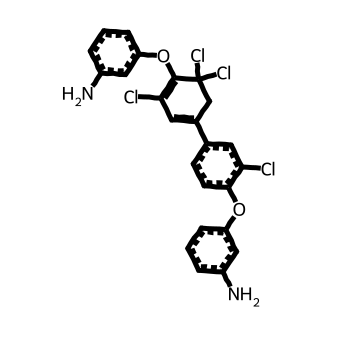 Nc1cccc(OC2=C(Cl)C=C(c3ccc(Oc4cccc(N)c4)c(Cl)c3)CC2(Cl)Cl)c1